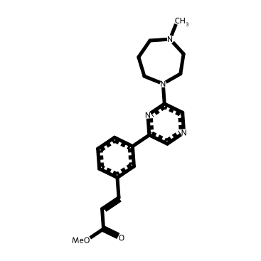 COC(=O)/C=C/c1cccc(-c2cncc(N3CCCN(C)CC3)n2)c1